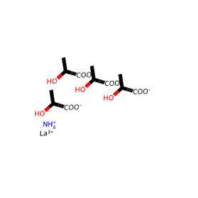 CC(O)C(=O)[O-].CC(O)C(=O)[O-].CC(O)C(=O)[O-].CC(O)C(=O)[O-].[La+3].[NH4+]